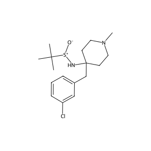 CN1CCC(Cc2cccc(Cl)c2)(N[S+]([O-])C(C)(C)C)CC1